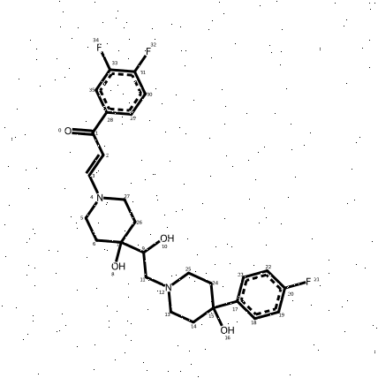 O=C(C=CN1CCC(O)(C(O)CN2CCC(O)(c3ccc(F)cc3)CC2)CC1)c1ccc(F)c(F)c1